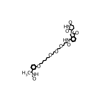 CC(NC=O)c1cccc(OCCCCCCOCCOCCOCCC(=O)Nc2cccc3c2CN(C2CCC(=O)NC2=O)C3=O)c1